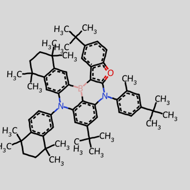 Cc1cc(C(C)(C)C)ccc1N1c2cc(C(C)(C)C)cc3c2B(c2cc4c(cc2N3c2ccc3c(c2)C(C)(C)CCC3(C)C)C(C)(C)CCC4(C)C)c2c1oc1ccc(C(C)(C)C)cc21